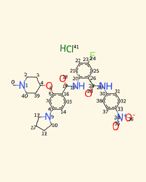 CN1CCC(Oc2cc(N3CCCC3)ccc2C(=O)Nc2ccc(F)cc2C(=O)Nc2ccc([N+](=O)[O-])cc2)CC1.Cl